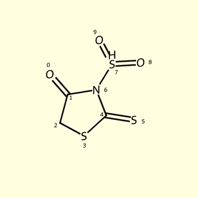 O=C1CSC(=S)N1[SH](=O)=O